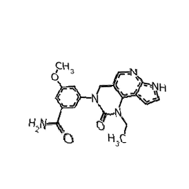 CCN1C(=O)N(c2cc(OC)cc(C(N)=O)c2)Cc2cnc3[nH]ccc3c21